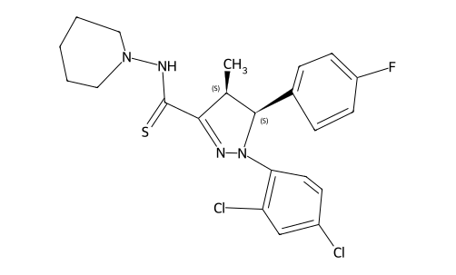 C[C@@H]1C(C(=S)NN2CCCCC2)=NN(c2ccc(Cl)cc2Cl)[C@@H]1c1ccc(F)cc1